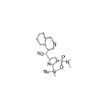 CN(C)S(=O)(=O)n1cc(C(O)c2cncc3ccccc23)nc1[Si](C)(C)C(C)(C)C